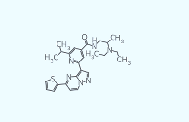 CCN(CC)C(C)CNC(=O)c1cc(-c2cnn3ccc(-c4cccs4)nc23)nc(C(C)C)c1